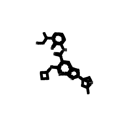 CC(CF)n1cccc(NC(=O)c2cc3cn(C45COC(C)(C4)C5)nc3nc2OC2CCC2)c1=O